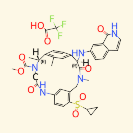 COC(=O)N1CC(=O)Nc2ccc(S(=O)(=O)C3CC3)c(c2)CN(C)C(=O)[C@H](Nc2ccc3cc[nH]c(=O)c3c2)c2ccc(c(C)c2)[C@H]1C.O=C(O)C(F)(F)F